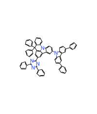 c1ccc(-c2ccc3c(c2)c2cc(-c4ccccc4)ccc2n3-c2ccc3c(c2)c2cc(-c4nc(-c5ccccc5)nc(-c5ccccc5)n4)cc4c2n3-c2ccccc2C4(c2ccccc2)c2ccccc2)cc1